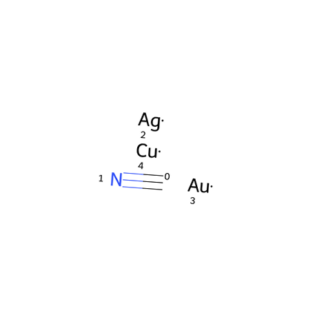 C#N.[Ag].[Au].[Cu]